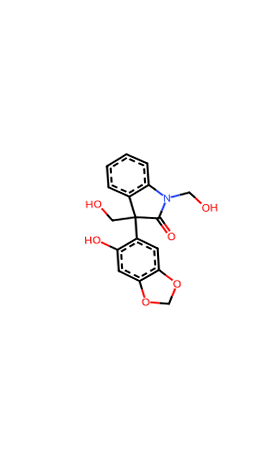 O=C1N(CO)c2ccccc2C1(CO)c1cc2c(cc1O)OCO2